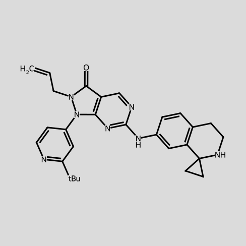 C=CCn1c(=O)c2cnc(Nc3ccc4c(c3)C3(CC3)NCC4)nc2n1-c1ccnc(C(C)(C)C)c1